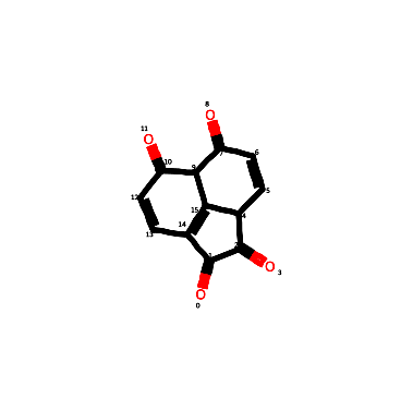 O=C1C(=O)C2C=CC(=O)C3C(=O)C=CC1=C23